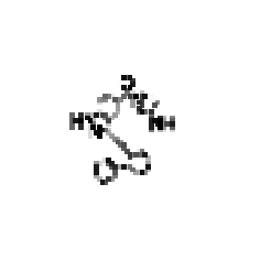 CN[C@H]1CCN(C(=O)c2ccc3[nH]nc(C#Cc4ccccc4-c4ccccc4)c3c2)C1